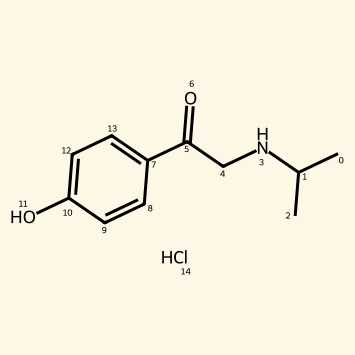 CC(C)NCC(=O)c1ccc(O)cc1.Cl